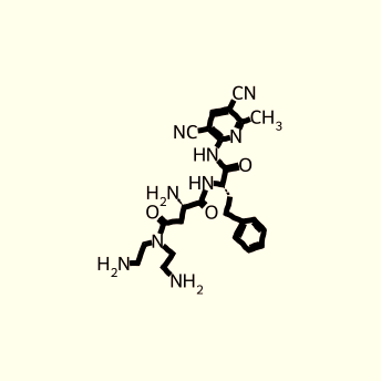 Cc1nc(NC(=O)[C@H](CCc2ccccc2)NC(=O)[C@@H](N)CC(=O)N(CCN)CCN)c(C#N)cc1C#N